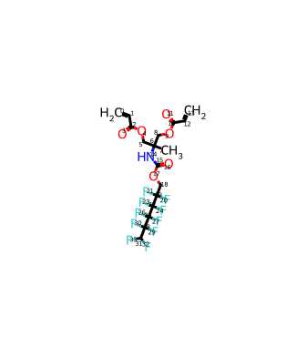 C=CC(=O)OCC(C)(COC(=O)C=C)NC(=O)OCC(F)(F)C(F)(F)C(F)(F)C(F)(F)C(F)F